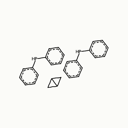 C1C2CC12.c1ccc(Pc2ccccc2)cc1.c1ccc(Pc2ccccc2)cc1